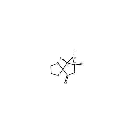 C[C@@H]1[C@@H]2CC(=O)C3(SCCS3)[C@H]12